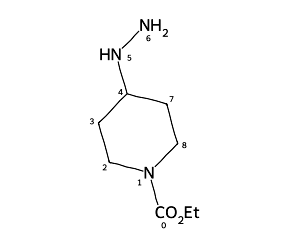 CCOC(=O)N1CCC(NN)CC1